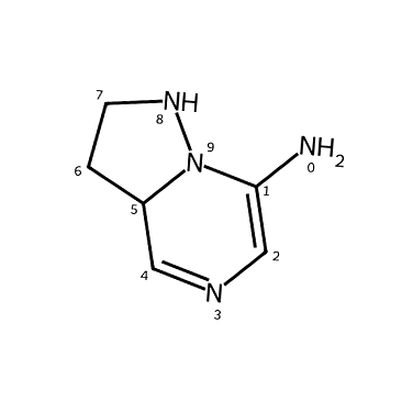 NC1=CN=CC2CCNN12